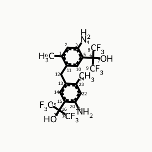 Cc1cc(N)c(C(O)(C(F)(F)F)C(F)(F)F)cc1Cc1cc(C(O)(C(F)(F)F)C(F)(F)F)c(N)cc1C